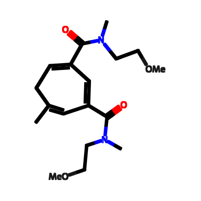 COCCN(C)C(=O)C1=CCC(C)=CC(C(=O)N(C)CCOC)=C1